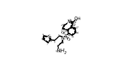 NCCN(CCc1cccs1)S(=O)(=O)c1cccc2c(O)nccc12